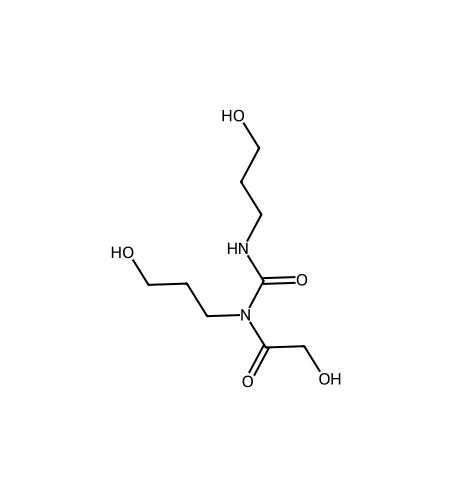 O=C(CO)N(CCCO)C(=O)NCCCO